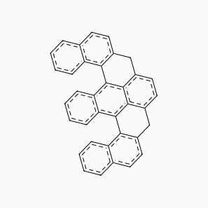 c1ccc2c3c(ccc2c1)Cc1ccc2c4c(c5ccccc5c-3c14)-c1c(ccc3ccccc13)C2